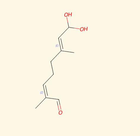 C/C(C=O)=C/CC/C(C)=C/C(O)O